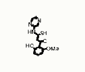 COc1cccc(O)c1C(=O)/C=C(\S)Nc1cnccn1